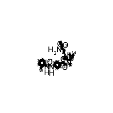 COC(=O)[C@@H](N)CCNC(=O)C(CC(C)C)N(C)C(=O)Cc1ccc(NC(=O)Nc2ccccc2C)cc1